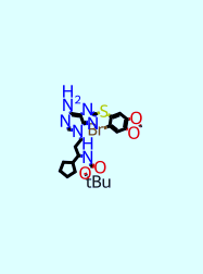 CC(C)(C)OC(=O)NC(CCn1cnc(N)c2nc(Sc3cc4c(cc3Br)OCO4)nc1-2)C1CCCC1